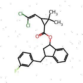 CC1(C)C(C=C(Cl)Cl)C1C(=O)OC1CC(Cc2cccc(F)c2)c2ccccc21